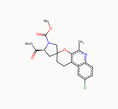 COC(=O)[C@@H]1CC2(CCc3c(c(C)nc4ccc(Cl)cc34)O2)CN1C(=O)OC(C)(C)C